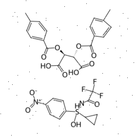 Cc1ccc(C(=O)O[C@H](C(=O)O)[C@H](OC(=O)c2ccc(C)cc2)C(=O)O)cc1.O=C(N=[SH](O)(c1ccc([N+](=O)[O-])cc1)C1CC1)C(F)(F)F